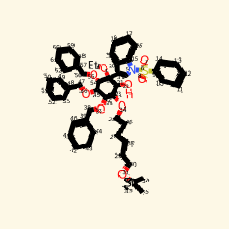 CCOC1(c2cn(S(=O)(=O)c3ccccc3)c3ccccc23)C(O)C(OCCCCCCO[Si](C)(C)C)C(OCc2ccccc2)C(OCc2ccccc2)C1OCc1ccccc1